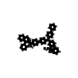 CC1C=CC=CC1c1c(Nc2ccc(-c3ccc(N(c4ccc(-c5ccccc5)cc4)c4ccc5c(c4)C(C)(C)c4ccccc4-5)cc3)cc2)ccc2c1C=CCC2